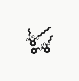 CCCCCCCCOC(=O)c1ccccc1C(=O)OCCCC.CCCCOC(=O)c1ccccc1C(=O)OCc1ccccc1